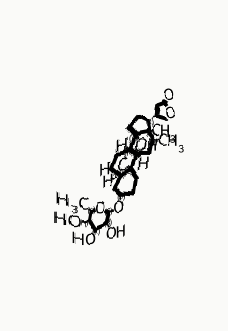 C[C@@H]1O[C@@H](O[C@H]2CC[C@@]3(C)[C@H](CC[C@@H]4[C@@H]3C[C@@H](C)[C@]3(C)[C@@H](C5=CC(=O)OC5)CC[C@]43O)C2)[C@H](O)[C@H](O)[C@H]1O